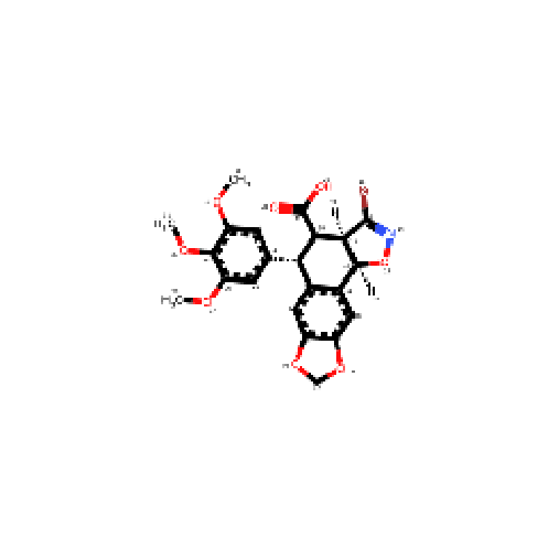 COc1cc([C@H]2c3cc4c(cc3[C@@H]3ON=C(Br)[C@@H]3C2C(=O)O)OCO4)cc(OC)c1OC